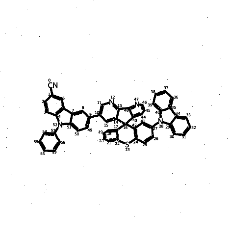 N#Cc1ccc2c(c1)c1cc(-c3cnc4c(c3)C3(c5ccccc5Sc5ccc(-n6c7ccccc7c7ccccc76)cc53)c3cccnc3-4)ccc1n2-c1ccccc1